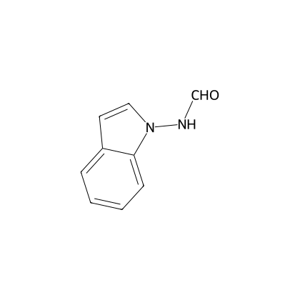 O=CNn1ccc2ccccc21